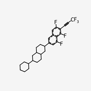 Fc1cc2cc(C3CCC4CC(C5CCCCC5)CCC4C3)cc(F)c2c(F)c1C#CC(F)(F)F